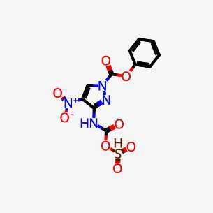 O=C(Nc1nn(C(=O)Oc2ccccc2)cc1[N+](=O)[O-])O[SH](=O)=O